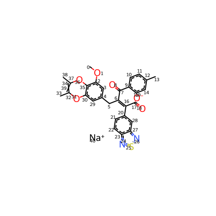 COc1cc(CC(C(=O)c2ccc(C)cc2)=C(C(=O)[O-])c2ccc3nsnc3c2)cc(OC(C)C)c1OC(C)C.[Na+]